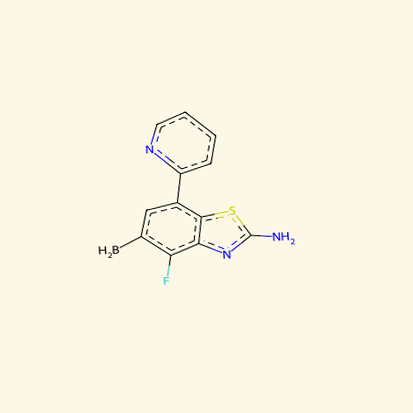 Bc1cc(-c2ccccn2)c2sc(N)nc2c1F